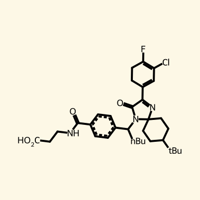 CCCCC(c1ccc(C(=O)NCCC(=O)O)cc1)N1C(=O)C(C2=CC(Cl)=C(F)CC2)=NC12CCC(C(C)(C)C)CC2